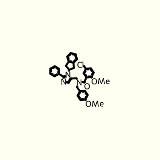 COc1ccc(CN(Cc2cnc(-c3ccccc3)n2C2Cc3ccccc3C2)C(=O)c2cc(Cl)ccc2OC)cc1